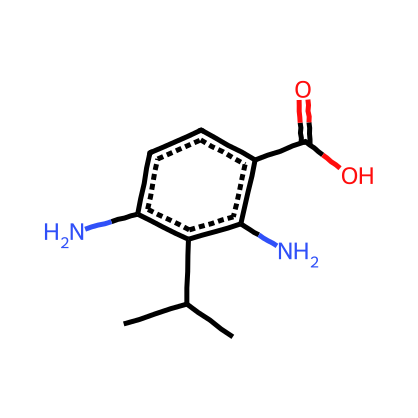 CC(C)c1c(N)ccc(C(=O)O)c1N